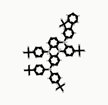 CC(C)(C)c1ccc(N(c2ccc(C(C)(C)C)cc2)c2ccc3c(c2)N(c2ccc(C(C)(C)C)cc2)c2cccc4c2B3c2ccc(C(C)(C)C)cc2N4c2ccc3c(c2)C(C)(C)c2ccccc2-3)cc1